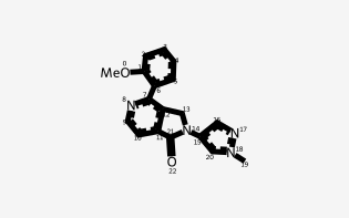 COc1ccccc1-c1nccc2c1CN(c1cnn(C)c1)C2=O